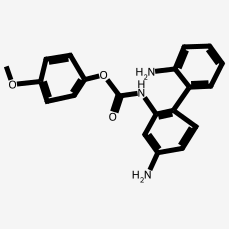 COc1ccc(OC(=O)Nc2cc(N)ccc2-c2ccccc2N)cc1